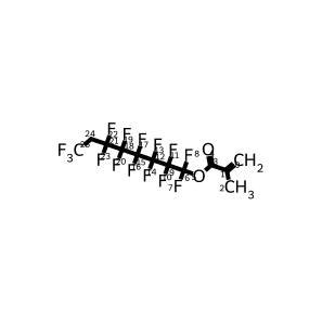 C=C(C)C(=O)OC(F)(F)C(F)(F)C(F)(F)C(F)(F)C(F)(F)C(F)(F)CC(F)(F)F